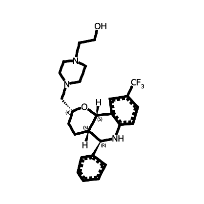 OCCN1CCN(C[C@H]2CC[C@@H]3[C@H](O2)c2cc(C(F)(F)F)ccc2N[C@H]3c2ccccc2)CC1